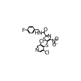 O=C(NCc1ccc(F)cc1)c1nc([N+](=O)[O-])c(Sc2c(Cl)cncc2Cl)s1